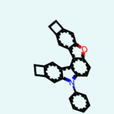 c1ccc(-n2c3cc4c(cc3c3c5c(ccc32)oc2cc3c(cc25)CC3)CC4)cc1